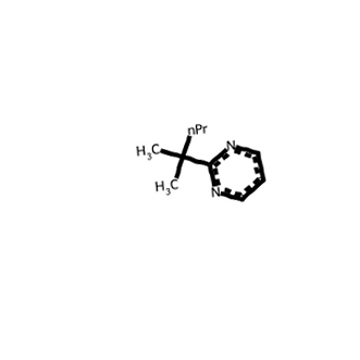 CCCC(C)(C)c1ncccn1